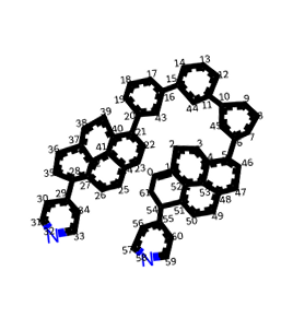 C1=c2ccc3c(-c4cccc(-c5cccc(-c6cccc(-c7ccc8ccc9c(-c%10ccncc%10)ccc%10ccc7c8c%109)c6)c5)c4)ccc4ccc(c2c43)C(c2ccncc2)C1